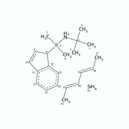 CC(C)(C)[NH][Ti]([CH3])([CH3])[CH]1C=Cc2ccccc21.CC=CC=CC.[SiH4]